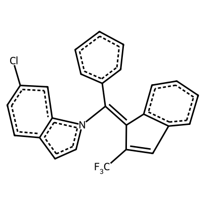 FC(F)(F)C1=Cc2ccccc2C1=C(c1ccccc1)n1ccc2ccc(Cl)cc21